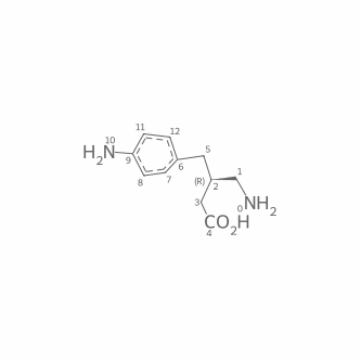 NC[C@@H](CC(=O)O)Cc1ccc(N)cc1